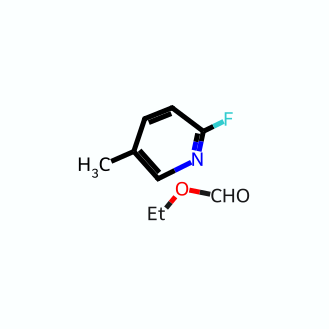 CCOC=O.Cc1ccc(F)nc1